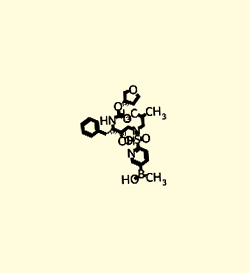 CB(O)c1ccc(S(=O)(=O)N(CC(C)C)C[C@@H](O)[C@H](Cc2ccccc2)NC(=O)O[C@H]2CCOC2)nc1